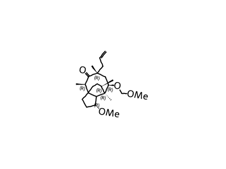 C=CC[C@]1(C)C[C@@H](OCOC)[C@@]2(C)C3[C@H](OC)CCC3(CC[C@H]2C)[C@@H](C)C1=O